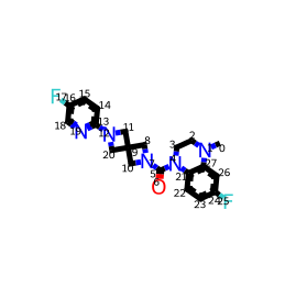 CN1CCN(C(=O)N2CC3(C2)CN(c2ccc(F)cn2)C3)c2ccc(F)cc21